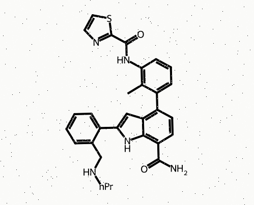 CCCNCc1ccccc1-c1cc2c(-c3cccc(NC(=O)c4nccs4)c3C)ccc(C(N)=O)c2[nH]1